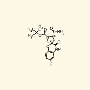 CC(C)(C)OC(=O)N1C[C@@]2(C[C@H]1C(N)=O)Oc1ccc(F)cc1NC2=O